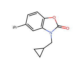 CC(C)c1ccc2oc(=O)n(CC3CC3)c2c1